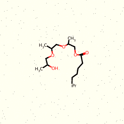 CC(C)CCCCC(=O)OCC(C)OCC(C)OCC(C)O